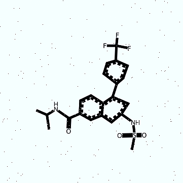 CC(C)NC(=O)c1ccc2c(-c3ccc(C(F)(F)F)cc3)cc(NS(C)(=O)=O)cc2c1